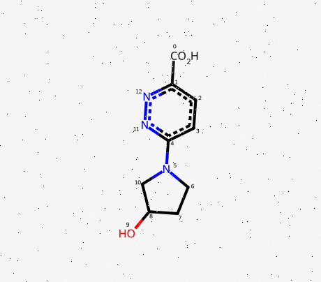 O=C(O)c1ccc(N2CCC(O)C2)nn1